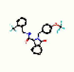 O=C(NCc1ccccc1C(F)(F)F)C1c2ccccc2C(=O)N1Cc1ccc(OC(F)(F)F)cc1